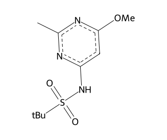 COc1cc(NS(=O)(=O)C(C)(C)C)nc(C)n1